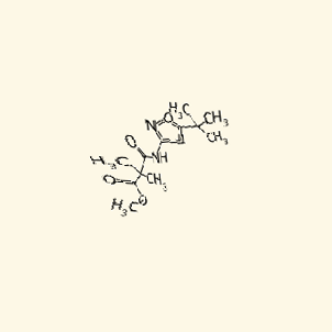 COC(=O)C(C)(C)C(=O)Nc1cc(C(C)(C)C)on1